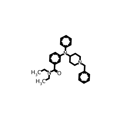 CCN(CC)C(=O)c1cccc(N(c2ccccc2)C2CCN(Cc3ccccc3)CC2)c1